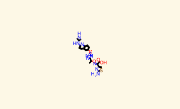 CC(O/N=C(\C(=O)O)c1csc(N)n1)c1nnn(Oc2ccc3nc(NC4CNC4)ccc3c2)n1